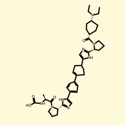 CCN(CC)[C@H]1CC[C@@H](C(=O)N2CCC[C@H]2c2ncc(C3CC=C(c4ccc(-c5cnc([C@@H]6CCCN6C(=O)[C@H](C)NC(=O)O)[nH]5)cc4)CC3)[nH]2)CC1